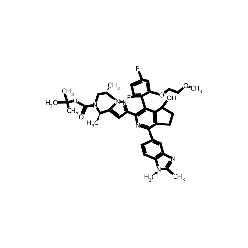 COCCOc1cc(F)cc(F)c1-c1c(-c2cc3n(n2)[C@@H](C)CN(C(=O)OC(C)(C)C)[C@@H]3C)nc(-c2ccc3c(c2)nc(C)n3C)c2c1C(O)CC2